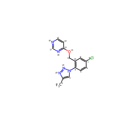 FC(F)(F)c1cn(-c2ccc(Cl)cc2COc2ccncn2)nn1